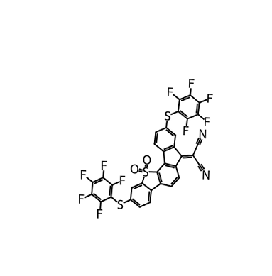 N#CC(C#N)=C1c2cc(Sc3c(F)c(F)c(F)c(F)c3F)ccc2-c2c1ccc1c2S(=O)(=O)c2cc(Sc3c(F)c(F)c(F)c(F)c3F)ccc2-1